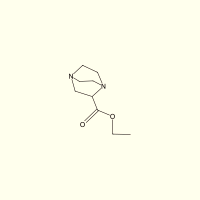 CCOC(=O)C1CN2CCN1CC2